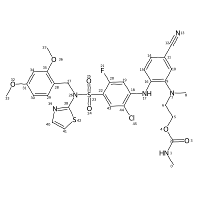 CNC(=O)OCCN(C)c1cc(C#N)ccc1Nc1cc(F)c(S(=O)(=O)N(Cc2ccc(OC)cc2OC)c2nccs2)cc1Cl